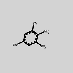 Bc1cc(N=O)cc(C#N)c1N